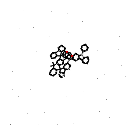 CC1(C)c2ccccc2C2(c3cc4c(cc31)C1(c3ccccc3-c3ccccc31)c1ccccc1-4)c1cccnc1-c1ncc(-n3c4ccccc4c4cc5c(cc43)c3ccccc3n5-c3ccccc3)cc12